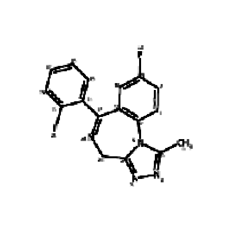 Cc1nnc2n1-c1ccc(F)cc1C(c1ccccc1F)=NC2